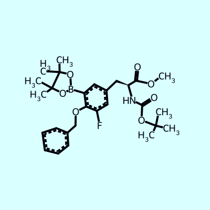 COC(=O)[C@H](Cc1cc(F)c(OCc2ccccc2)c(B2OC(C)(C)C(C)(C)O2)c1)NC(=O)OC(C)(C)C